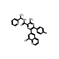 CC(NC(=O)c1nc(-c2cc(Cl)c3ncccc3c2)c(-c2ccc(F)cc2)nc1N)c1ccccn1